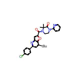 CC(C)(C)c1cc(-c2ccc(Cl)cc2)nc2cc(C(=O)N3CCN(c4ccccn4)C(=O)C3(C)C)oc12